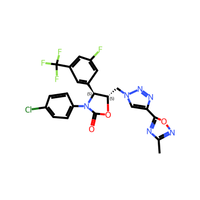 Cc1noc(-c2cn(C[C@@H]3OC(=O)N(c4ccc(Cl)cc4)[C@H]3c3cc(F)cc(C(F)(F)F)c3)nn2)n1